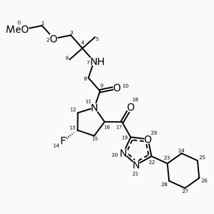 COCOCC(C)(C)NCC(=O)N1C[C@@H](F)CC1C(=O)c1nnc(C2CCCCC2)o1